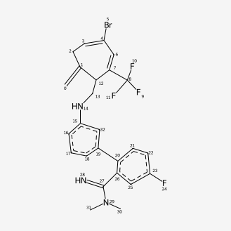 C=C1CC=C(Br)C=C(C(F)(F)F)C1CNc1cccc(-c2ccc(F)cc2C(=N)N(C)C)c1